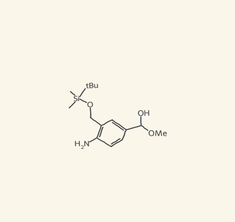 COC(O)c1ccc(N)c(CO[Si](C)(C)C(C)(C)C)c1